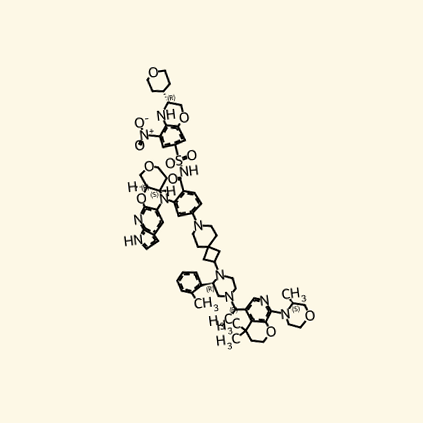 Cc1ccccc1[C@@H]1CN([C@H](C)c2cnc(N3CCOC[C@@H]3C)c3c2C(C)(C)CCO3)CCN1C1CC2(CCN(c3ccc(C(=O)NS(=O)(=O)c4cc5c(c([N+](=O)[O-])c4)N[C@H](C4CCOCC4)CO5)c(N4c5cc6cc[nH]c6nc5O[C@H]5COCC[C@@H]54)c3)CC2)C1